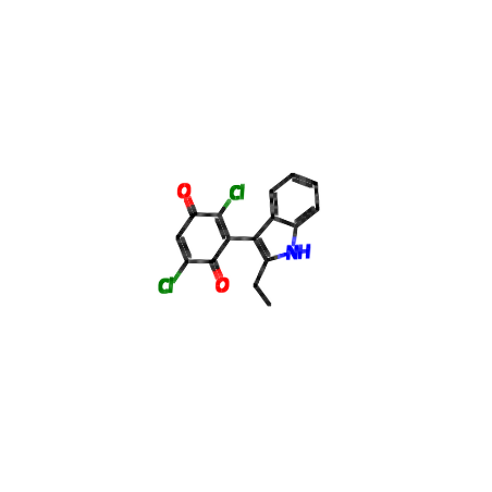 CCc1[nH]c2ccccc2c1C1=C(Cl)C(=O)C=C(Cl)C1=O